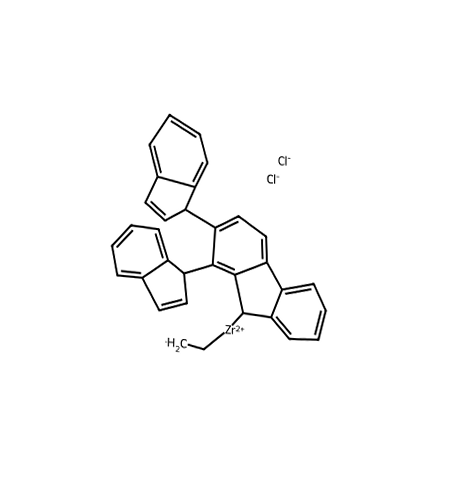 [CH2][CH2][Zr+2][CH]1c2ccccc2-c2ccc(C3C=Cc4ccccc43)c(C3C=Cc4ccccc43)c21.[Cl-].[Cl-]